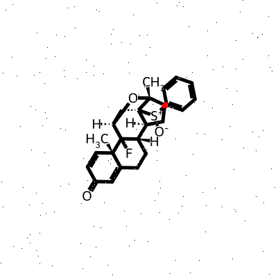 C[C@]12C=CC(=O)C=C1CC[C@H]1[C@@H]3CC[C@@]4(C)O[C@H](C[C@]34[S@+]([O-])c3ccccc3)C12F